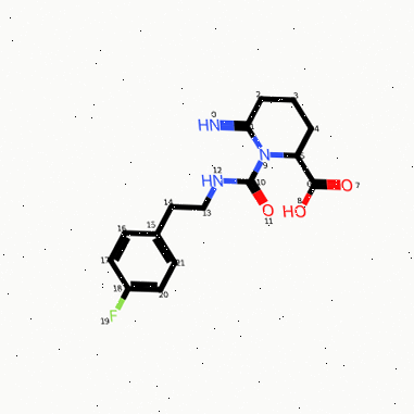 N=C1CCCC(C(=O)O)N1C(=O)NCCc1ccc(F)cc1